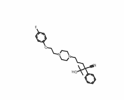 CC(C)(O)C(C#N)(CCCN1CCN(CCOc2ccc(F)cc2)CC1)c1ccccc1